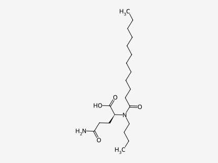 CCCCCCCCCCCC(=O)N(CCCC)[C@@H](CCC(N)=O)C(=O)O